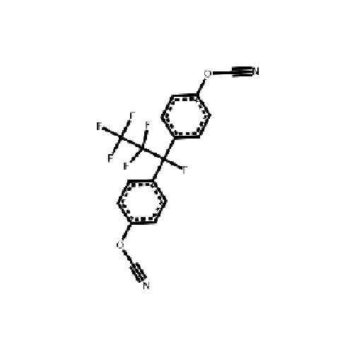 N#COc1ccc(C(F)(c2ccc(OC#N)cc2)C(F)(F)C(F)(F)F)cc1